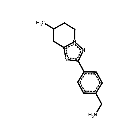 CC1CCn2nc(-c3ccc(CN)cc3)nc2C1